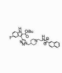 CC(C)COC(=O)c1[nH]c2ccc(F)cc2c1-c1cn(CC2CCN(CCNS(=O)(=O)c3ccc4ccccc4c3)CC2)nn1